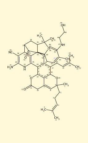 CC(C)=CCCC1(C)C=C2CC(=O)Oc3c2c(c(CC=C(C)C)c2c3C3=C4C(C(C#N)=C(N)N3)C3CC5C(C)(C)OC(C/C=C(/C)C(=O)NCCO)(C3=O)C45O2)O1